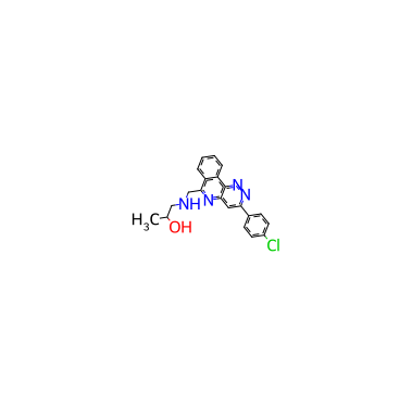 CC(O)CNCc1nc2cc(-c3ccc(Cl)cc3)nnc2c2ccccc12